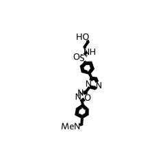 CNCc1ccc(-c2nnc(-c3cncc(-c4ccc([S+]([O-])NCCO)cc4)n3)o2)cc1